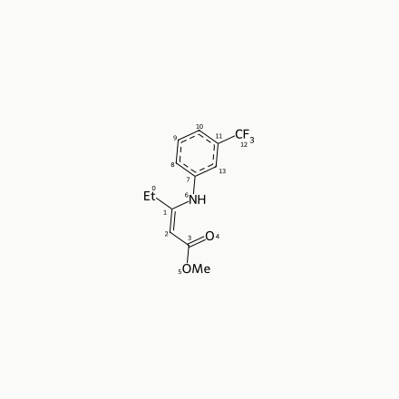 CC/C(=C/C(=O)OC)Nc1cccc(C(F)(F)F)c1